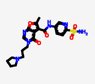 Cc1oc2ncn(CCCN3CCCC3)c(=O)c2c1C(=O)Nc1ccc(S(N)(=O)=O)nc1